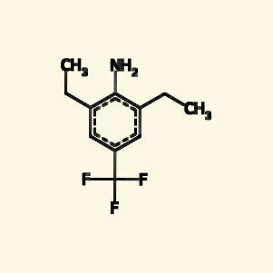 CCc1cc(C(F)(F)F)cc(CC)c1N